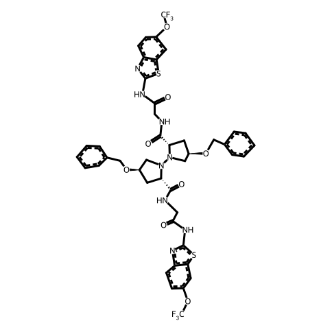 O=C(CNC(=O)[C@@H]1C[C@@H](OCc2ccccc2)CN1N1C[C@H](OCc2ccccc2)C[C@H]1C(=O)NCC(=O)Nc1nc2ccc(OC(F)(F)F)cc2s1)Nc1nc2ccc(OC(F)(F)F)cc2s1